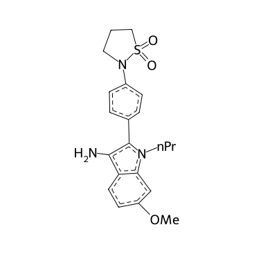 CCCn1c(-c2ccc(N3CCCS3(=O)=O)cc2)c(N)c2ccc(OC)cc21